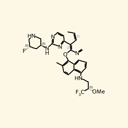 C=N/C(Oc1c(C)ccc2c(NC[C@H](OC)C(F)(F)F)cccc12)=C(\C=C/C)c1ccnc(N[C@@H]2CNC[C@@H](F)C2)n1